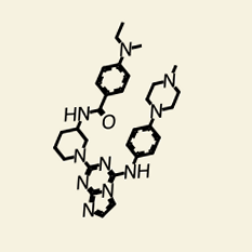 CCN(C)c1ccc(C(=O)NC2CCCN(c3nc(Nc4ccc(N5CCN(C)CC5)cc4)n4ccnc4n3)C2)cc1